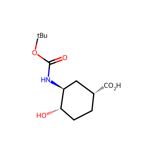 CC(C)(C)OC(=O)N[C@H]1C[C@H](C(=O)O)CC[C@@H]1O